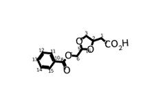 O=C(O)CC1COC(COC(=O)c2ccccc2)O1